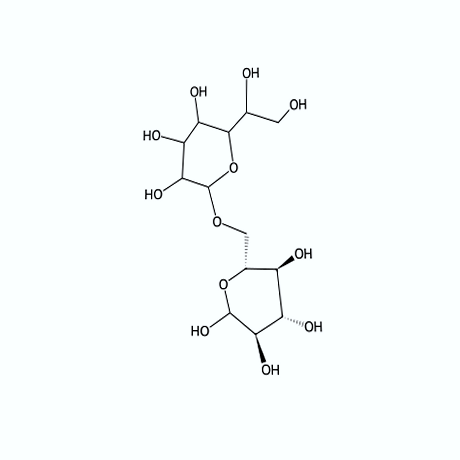 OCC(O)C1OC(OC[C@H]2OC(O)[C@H](O)[C@@H](O)[C@@H]2O)C(O)C(O)C1O